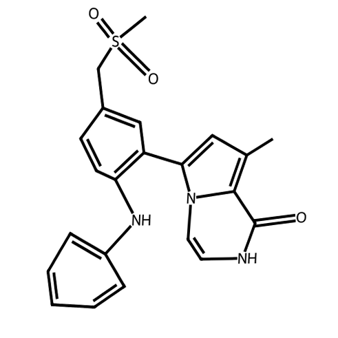 Cc1cc(-c2cc(CS(C)(=O)=O)ccc2Nc2ccccc2)n2cc[nH]c(=O)c12